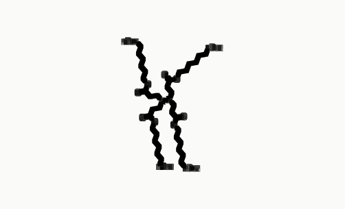 CCCCCCCCCCCCCCCCOC(=O)CCN(CCC(=O)OCCCCCCCCCCCCCCCC)N(CCC(=O)OCCCCCCCCCCCCCCCC)CCC(=O)OCCCCCCCCCCCCCCCC